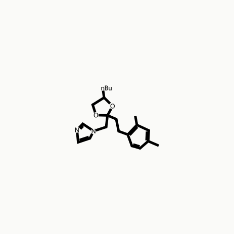 CCCCC1COC(CCc2ccc(C)cc2C)(Cn2ccnc2)O1